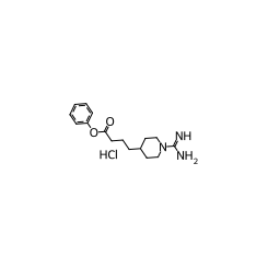 Cl.N=C(N)N1CCC(CCCC(=O)Oc2ccccc2)CC1